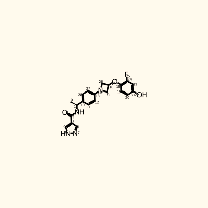 C[C@H](NC(=O)c1cn[nH]c1)c1ccc(N2CC(Oc3ccc(O)cc3F)C2)cc1